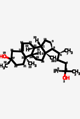 CC(C)C(C)(O)CC[C@@H](C)[C@H]1CC[C@H]2[C@@H]3CC=C4C[C@@](C)(O)CC[C@]4(C)[C@H]3CC[C@]12C